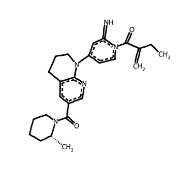 C=C(CC)C(=O)n1ccc(N2CCCc3cc(C(=O)N4CCCC[C@H]4C)cnc32)cc1=N